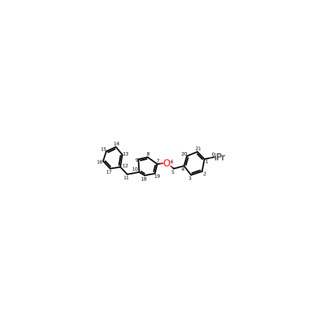 CC(C)c1ccc(COc2ccc(Cc3ccccc3)cc2)cc1